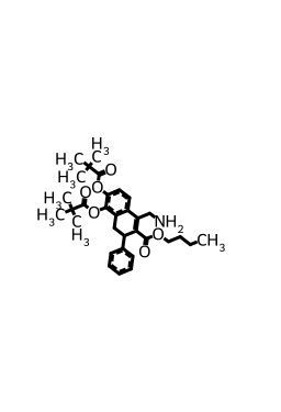 CCCCOC(=O)C1=C(CN)c2ccc(OC(=O)C(C)(C)C)c(OC(=O)C(C)(C)C)c2CC1c1ccccc1